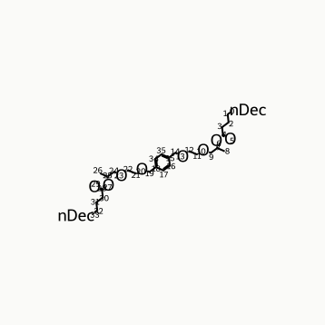 CCCCCCCCCCCCCC(=O)OC(C)COCCOCc1ccc(COCCOCC(C)OC(=O)CCCCCCCCCCCCC)cc1